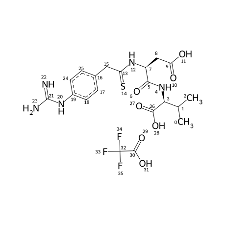 CC(C)[C@H](NC(=O)[C@H](CC(=O)O)NC(=S)Cc1ccc(NC(=N)N)cc1)C(=O)O.O=C(O)C(F)(F)F